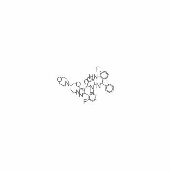 O=C(NC1N=C(c2ccccc2)c2cccc(F)c2NC1=O)c1c(-c2ccccc2F)nn2c1OCC(N1CCOCC1)CC2